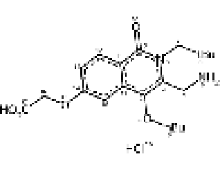 CCCCOc1c(CN)n(CC(C)(C)C)c(=O)c2ccc(OCC(=O)O)cc12.Cl